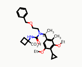 CCOc1cc([C@@H](C)N(CCOCc2ccccc2)C(=O)NC2(C(=O)O)CCC2)c(C)c(OCC)c1C1CC1